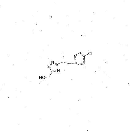 OCc1nc(CCc2ccc(Cl)cc2)ns1